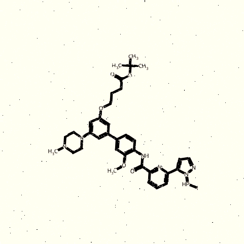 COc1cc(-c2cc(OCCCC(=O)OC(C)(C)C)cc(N3CCN(C)CC3)c2)ccc1NC(=O)c1cccc(-c2ccnn2PI)n1